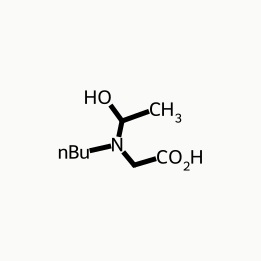 CCCCN(CC(=O)O)C(C)O